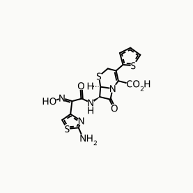 Nc1nc(/C(=N\O)C(=O)N[C@@H]2C(=O)N3C(C(=O)O)=C(c4cccs4)CS[C@H]23)cs1